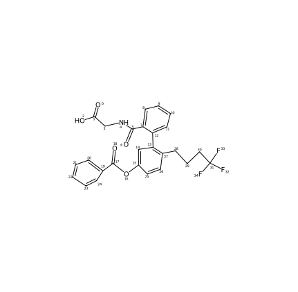 O=C(O)CNC(=O)c1ccccc1-c1cc(OC(=O)c2ccccc2)ccc1CCCC(F)(F)F